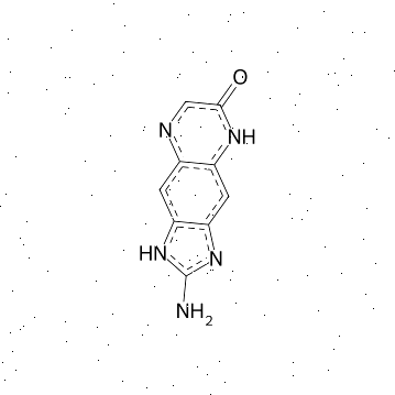 Nc1nc2cc3[nH]c(=O)cnc3cc2[nH]1